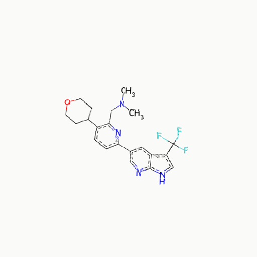 CN(C)Cc1nc(-c2cnc3[nH]cc(C(F)(F)F)c3c2)ccc1C1CCOCC1